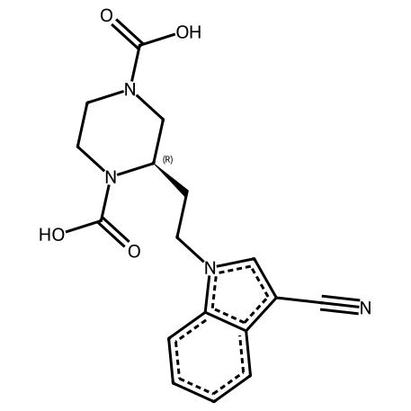 N#Cc1cn(CC[C@@H]2CN(C(=O)O)CCN2C(=O)O)c2ccccc12